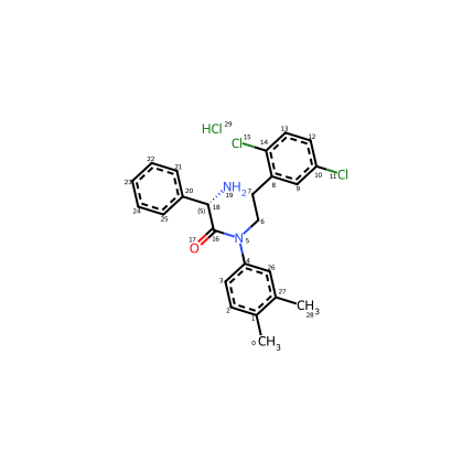 Cc1ccc(N(CCc2cc(Cl)ccc2Cl)C(=O)[C@@H](N)c2ccccc2)cc1C.Cl